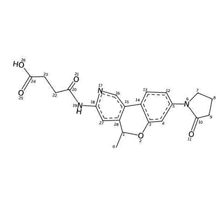 CC1Oc2cc(N3CCCC3=O)ccc2-c2cnc(NC(=O)CCC(=O)O)cc21